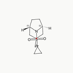 CC(C)C1C[C@@H]2CC[C@@H](C1)N2S(=O)(=O)C1CC1